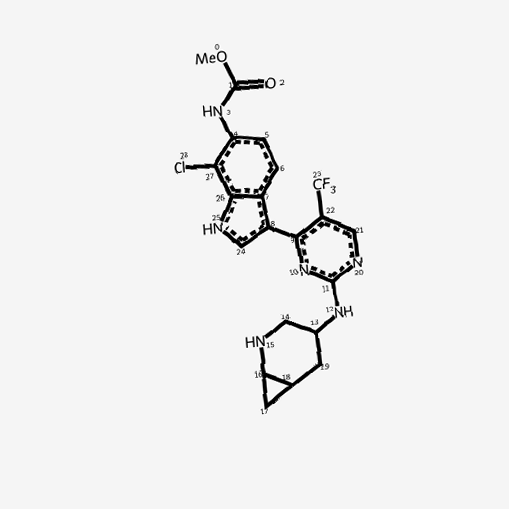 COC(=O)Nc1ccc2c(-c3nc(NC4CNC5CC5C4)ncc3C(F)(F)F)c[nH]c2c1Cl